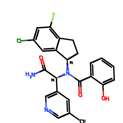 NC(=O)[C@@H](c1cncc(C(F)(F)F)c1)N(C(=O)c1ccccc1O)[C@@H]1CCc2c(F)cc(Cl)cc21